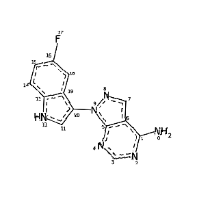 Nc1ncnc2c1cnn2-c1c[nH]c2ccc(F)cc12